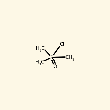 CS(C)(C)(=O)Cl